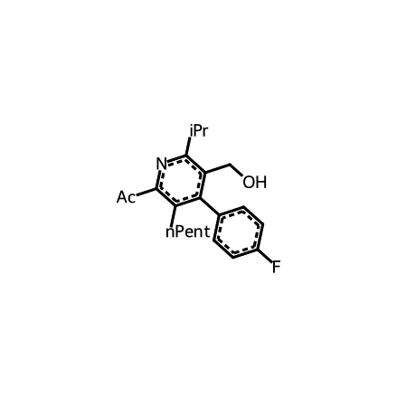 CCCCCc1c(C(C)=O)nc(C(C)C)c(CO)c1-c1ccc(F)cc1